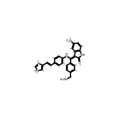 CC(=O)NCc1ccc(C(Nc2ccc(C=Cc3c[nH]cn3)cc2)=C2C(=O)Nc3ccc([N+](=O)[O-])cc32)cc1